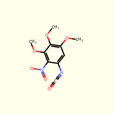 COc1cc(N=C=O)c([N+](=O)[O-])c(OC)c1OC